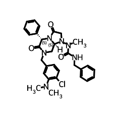 CN(C)c1cc(CN2C[C@H]3N(C(=O)CN3N(C)C(=O)NCc3ccccc3)[C@@H](c3ccccc3)C2=O)ccc1Cl